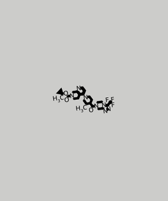 CC1CN(c2ccnc3c2CCN(C(=O)OC2(C)CC2)C3)CCC1C(=O)N1CCn2c(nnc2C(F)(F)F)C1